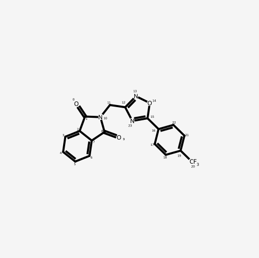 O=C1c2ccccc2C(=O)N1Cc1noc(-c2ccc(C(F)(F)F)cc2)n1